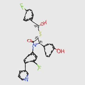 O=C1[C@H](SC[C@H](O)c2ccc(F)cc2)[C@@H](c2ccc(O)cc2)N1c1ccc(-c2cccnc2)c(F)c1